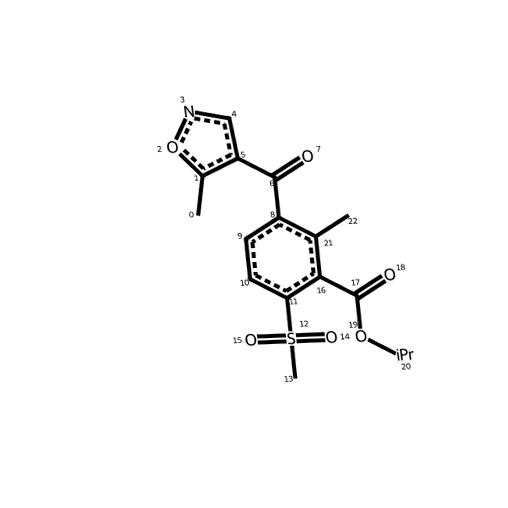 Cc1oncc1C(=O)c1ccc(S(C)(=O)=O)c(C(=O)OC(C)C)c1C